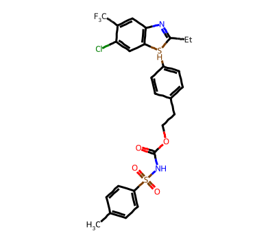 CCC1=Nc2cc(C(F)(F)F)c(Cl)cc2[SH]1c1ccc(CCOC(=O)NS(=O)(=O)c2ccc(C)cc2)cc1